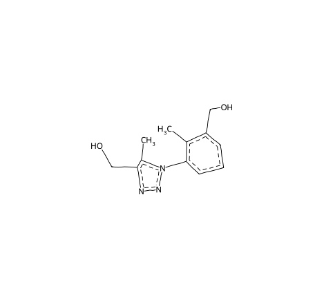 Cc1c(CO)cccc1-n1nnc(CO)c1C